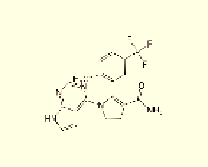 Cc1ccc(C(F)(F)F)cc1-c1c(C(N)=O)ccn1-c1ncnc2[nH]ccc12